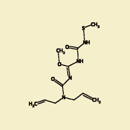 C=CCN(CC=C)C(=O)N=C(NC(=O)NSC)OC